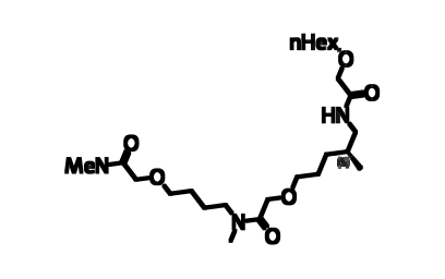 CCCCCCOCC(=O)NC[C@@H](C)CCCOCC(=O)N(C)CCCCOCC(=O)NC